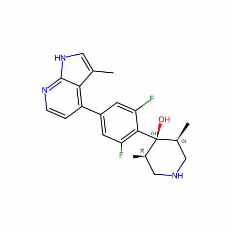 Cc1c[nH]c2nccc(-c3cc(F)c([C@@]4(O)[C@H](C)CNC[C@@H]4C)c(F)c3)c12